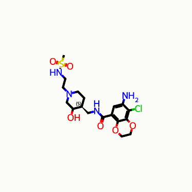 CS(=O)(=O)NCCN1CC[C@@H](CNC(=O)c2cc(N)c(Cl)c3c2OCCO3)C(O)C1